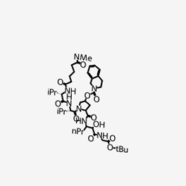 CCCC(NC(=O)C1CC(OC(=O)N2CCc3ccccc3C2)CN1C(=O)[C@@H](NC(=O)[C@@H](NC(=O)CCCCC(=O)NC)C(C)C)C(C)C)C(O)C(=O)NCC(=O)OC(C)(C)C